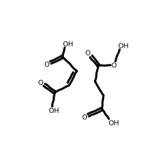 O=C(O)/C=C\C(=O)O.O=C(O)CCC(=O)OO